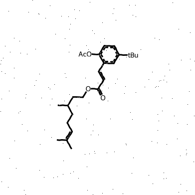 CC(=O)Oc1ccc(C(C)(C)C)cc1C=CC(=O)OCCC(C)CCC=C(C)C